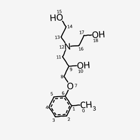 Cc1ccccc1OCC(O)CN(CCO)CCO